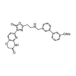 COc1cccc(-c2cccc(CNCCc3nn(-c4ccc5c(n4)NC(=O)CO5)c(=O)o3)c2)c1